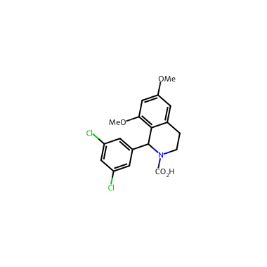 COc1cc2c(c(OC)c1)C(c1cc(Cl)cc(Cl)c1)N(C(=O)O)CC2